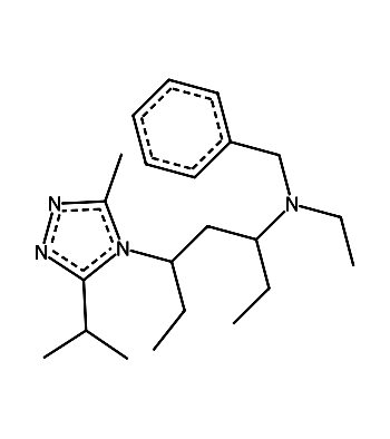 CCC(CC(CC)n1c(C)nnc1C(C)C)N(CC)Cc1ccccc1